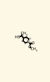 COC(=O)N1CCC(C(C)S)CC1